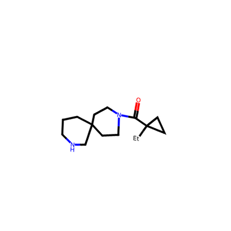 CCC1(C(=O)N2CCC3(CCCNC3)CC2)CC1